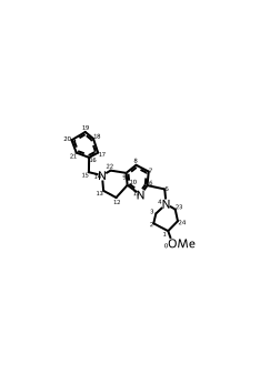 COC1CCN(Cc2ccc3c(n2)CCN(Cc2ccccc2)C3)CC1